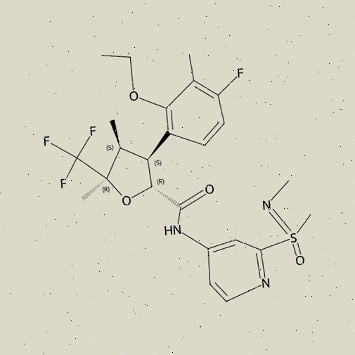 CCOc1c([C@H]2[C@H](C(=O)Nc3ccnc(S(C)(=O)=NC)c3)O[C@@](C)(C(F)(F)F)[C@H]2C)ccc(F)c1C